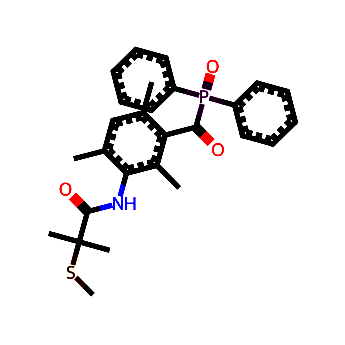 CSC(C)(C)C(=O)Nc1c(C)cc(C)c(C(=O)P(=O)(c2ccccc2)c2ccccc2)c1C